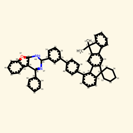 CC1(C)c2ccccc2-c2cc3c(cc21)-c1c(-c2ccc(-c4cccc(C5N=C(c6ccccc6)c6c(oc7ccccc67)N5)c4)cc2)cccc1C31CCCCC1